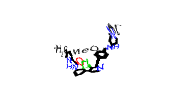 [CH2]c1ccc(C(=O)Nc2cccc(-c3ccnc(-c4ccc(CNC5CCN(C(C)=O)CC5)c(OC)c4)c3Cl)c2Cl)nc1